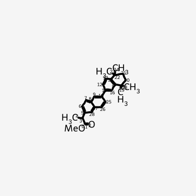 COC(=O)C(C)c1ccc2cc(-c3ccc4c(c3)C(C)(C)CCC4(C)C)ccc2c1